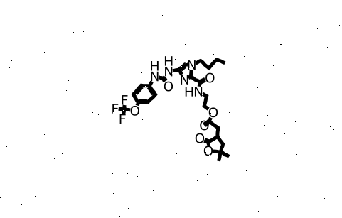 CCCCn1cc(NC(=O)Nc2ccc(OC(F)(F)F)cc2)nc1C(=O)NCCOC(=O)CC1CC(C)(C)OC1=O